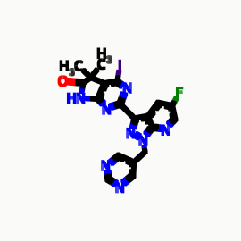 CC1(C)C(=O)Nc2nc(-c3nn(Cc4cncnc4)c4ncc(F)cc34)nc(I)c21